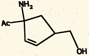 CC(=O)C1(N)C=CC(CO)C1